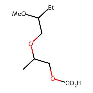 CCC(COC(C)COC(=O)O)OC